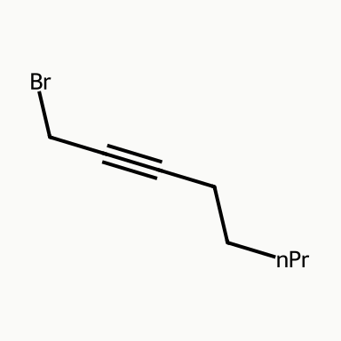 CCCCCC#CCBr